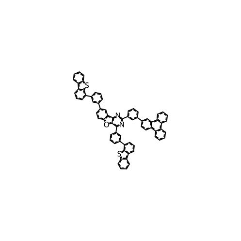 c1cc(-c2ccc3c4ccccc4c4ccccc4c3c2)cc(-c2nc(-c3cccc(-c4cccc5c4sc4ccccc45)c3)c3oc4ccc(-c5cccc(-c6cccc7c6sc6ccccc67)c5)cc4c3n2)c1